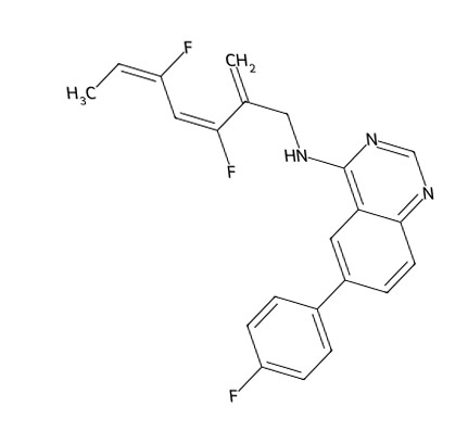 C=C(CNc1ncnc2ccc(-c3ccc(F)cc3)cc12)/C(F)=C\C(F)=C/C